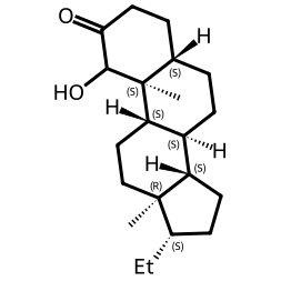 CC[C@H]1CC[C@H]2[C@@H]3CC[C@H]4CCC(=O)C(O)[C@]4(C)[C@H]3CC[C@]12C